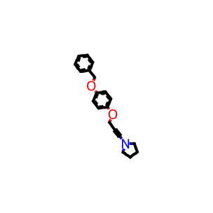 C(#CN1CCCC1)COc1ccc(OCc2ccccc2)cc1